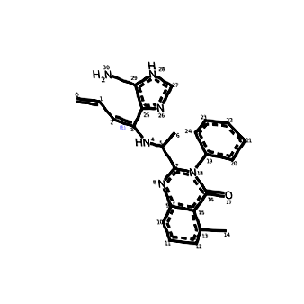 C=C/C=C(/NC(C)c1nc2cccc(C)c2c(=O)n1-c1ccccc1)c1nc[nH]c1N